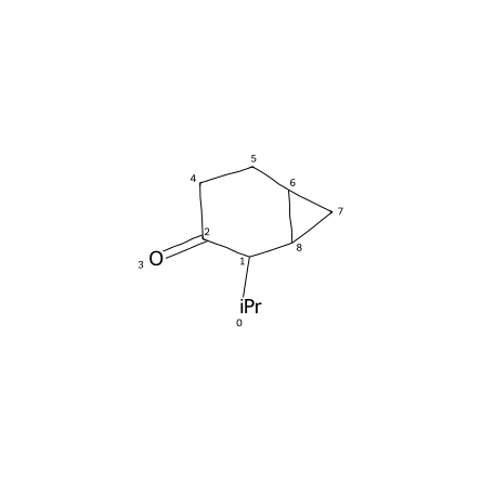 CC(C)C1C(=O)CCC2CC21